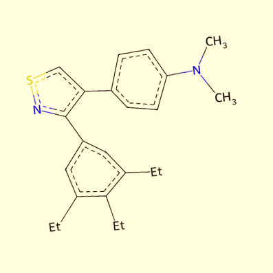 CCc1cc(-c2nscc2-c2ccc(N(C)C)cc2)cc(CC)c1CC